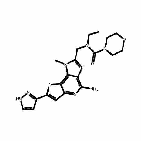 CCN(Cc1nc2c(N)nc3cc(-c4cc[nH]n4)sc3c2n1C)C(=O)N1CCOCC1